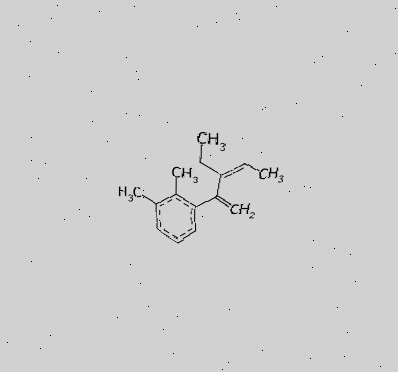 C=C(/C(=C\C)CC)c1cccc(C)c1C